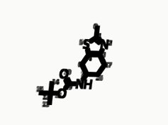 Cc1nc2c(s1)CC(NC(=O)OC(C)(C)C)CC2